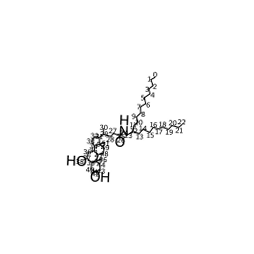 CCCCCCCCCCCCC(CCCCCCCCCC)CNC(=O)CCC(C)C1CCC2C3CC(O)C4CC(O)CCC4(C)C3CCC12C